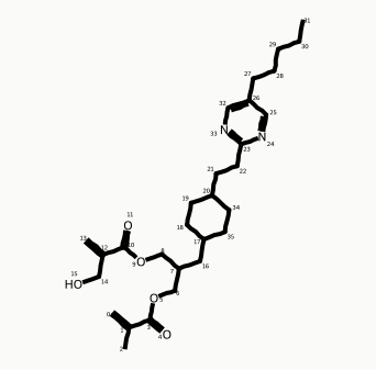 C=C(C)C(=O)OCC(COC(=O)C(=C)CO)CC1CCC(CCc2ncc(CCCCC)cn2)CC1